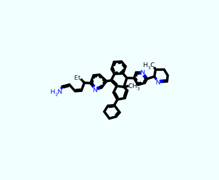 CCC(/C=C\C=C/N)c1ccc(C2=C3C=C(C4=CCCC=C4)C=CC3(C)C(c3ccc(C4N=CCCC4C)nc3)c3ccccc32)cn1